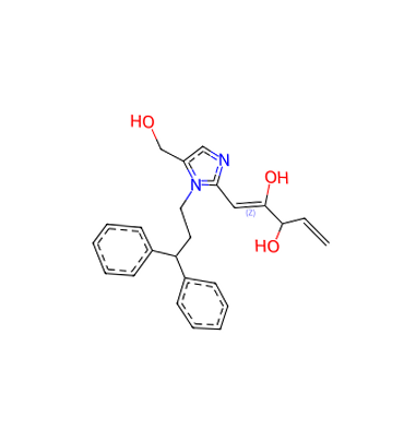 C=CC(O)/C(O)=C/c1ncc(CO)n1CCC(c1ccccc1)c1ccccc1